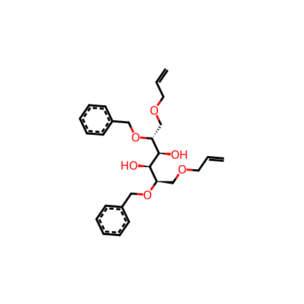 C=CCOC[C@@H](OCc1ccccc1)[C@@H](O)[C@H](O)[C@@H](COCC=C)OCc1ccccc1